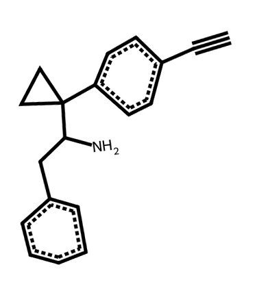 C#Cc1ccc(C2(C(N)Cc3ccccc3)CC2)cc1